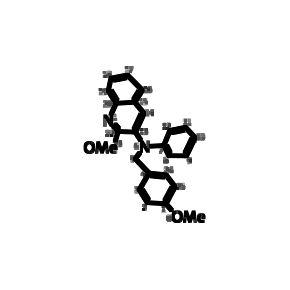 COc1ccc(CN(c2cc[c]cc2)c2cc3ccccc3nc2OC)cc1